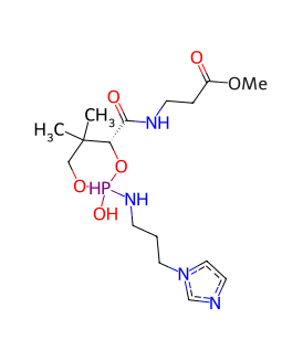 COC(=O)CCNC(=O)[C@@H]1O[PH](O)(NCCCn2ccnc2)OCC1(C)C